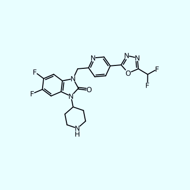 O=c1n(Cc2ccc(-c3nnc(C(F)F)o3)cn2)c2cc(F)c(F)cc2n1C1CCNCC1